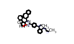 C/C=C\C=C/c1ccccc1/C(=C\C)c1ccc(C(=N/C=N)/N=C(/C2=Cc3ccccc3C=C=C2)c2cccc3oc4c(c23)C=CCC4)cc1